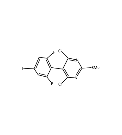 CSc1nc(Cl)c(-c2c(F)cc(F)cc2F)c(Cl)n1